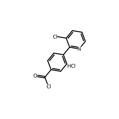 Cl.O=C(Cl)c1ccc(-c2ncccc2Cl)cc1